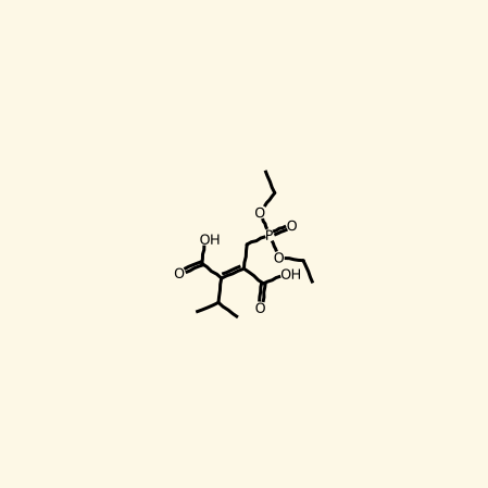 CCOP(=O)(C/C(C(=O)O)=C(\C(=O)O)C(C)C)OCC